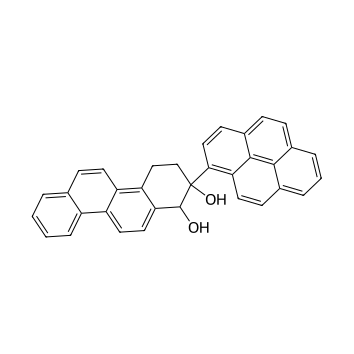 OC1c2ccc3c(ccc4ccccc43)c2CCC1(O)c1ccc2ccc3cccc4ccc1c2c34